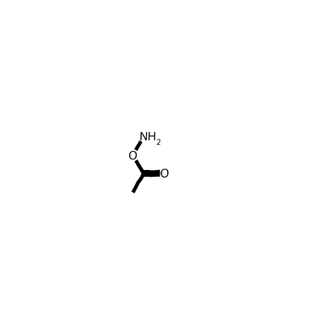 CC(=O)ON